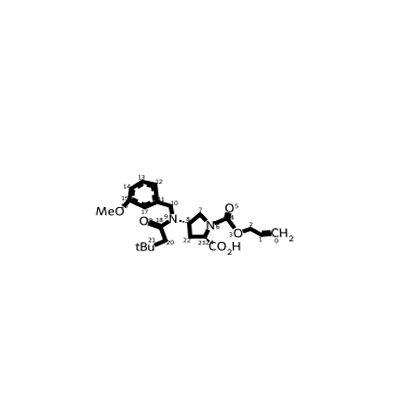 C=CCOC(=O)N1C[C@@H](N(Cc2cccc(OC)c2)C(=O)CC(C)(C)C)C[C@H]1C(=O)O